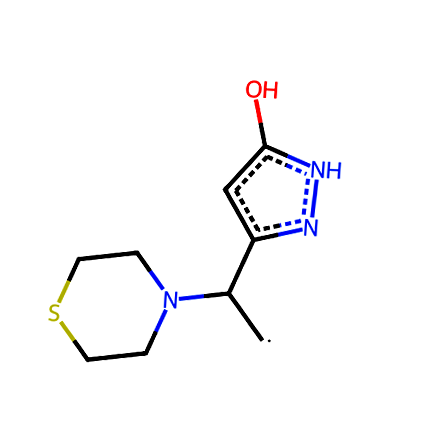 [CH2]C(c1cc(O)[nH]n1)N1CCSCC1